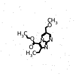 CCOC(=O)c1c(CC)nc2ncc(COC)cn12